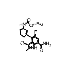 Cc1[nH]c2c(C(N)=O)cc(F)c(C3=CC(NC(=O)OC(C)(C)C)CCC3)c2c1Cl